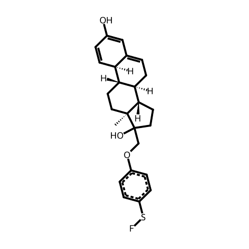 C[C@]12CC[C@H]3[C@@H](CC=C4C=C(O)C=C[C@@H]43)[C@@H]1CCC2(O)COc1ccc(SF)cc1